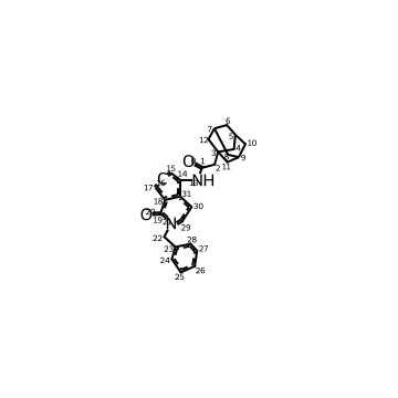 O=C(CC12CC3CC(CC(C3)C1)C2)Nc1cccc2c(=O)n(Cc3ccccc3)ccc12